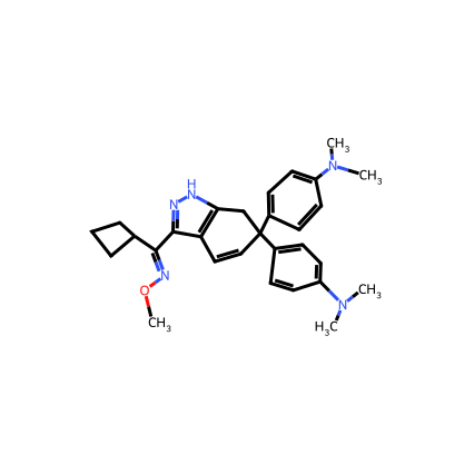 CON=C(c1n[nH]c2c1C=CC(c1ccc(N(C)C)cc1)(c1ccc(N(C)C)cc1)C2)C1CCC1